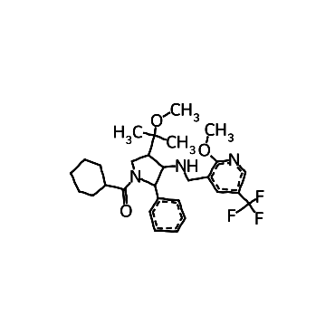 COc1ncc(C(F)(F)F)cc1CNC1C(c2ccccc2)N(C(=O)C2CCCCC2)CC1C(C)(C)OC